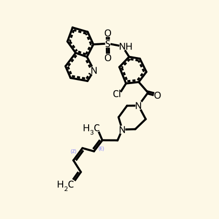 C=C/C=C\C=C(/C)CN1CCN(C(=O)c2ccc(NS(=O)(=O)c3cccc4cccnc34)cc2Cl)CC1